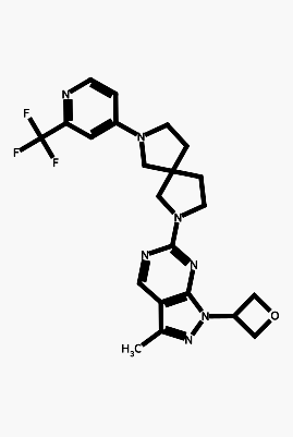 Cc1nn(C2COC2)c2nc(N3CCC4(CCN(c5ccnc(C(F)(F)F)c5)C4)C3)ncc12